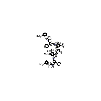 CCSc1nc(Nc2cc(N(CC)CC)c(OC)cc2/N=N/c2nc(N3CCOCC3)c(/C=C(/C(C)=O)C(=O)Nc3cccc(S(=O)(=O)O)c3)s2)nc(Nc2cc(N(CC)CC)c(OC)cc2/N=N/c2nc(N3CCOCC3)c(/C=C(\C(C)=O)C(=O)Nc3cccc(S(=O)(=O)O)c3)s2)n1